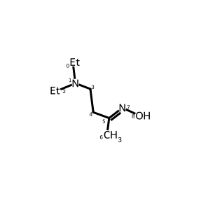 CCN(CC)CCC(C)=NO